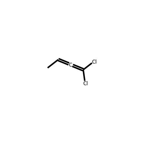 CC=C=C(Cl)Cl